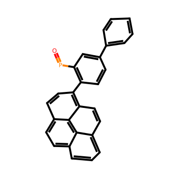 O=Pc1cc(-c2ccccc2)ccc1-c1ccc2ccc3cccc4ccc1c2c34